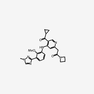 COc1c(Nc2cc(CC(=O)N3CCC3)ncc2C(=O)C2CC2)cccc1-c1ncn(C)n1